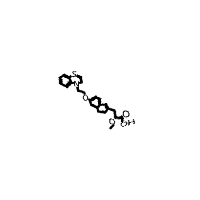 CCOC(Cc1ccc2cc(OCCN3CCSc4ccccc43)ccc2c1)C(=O)O